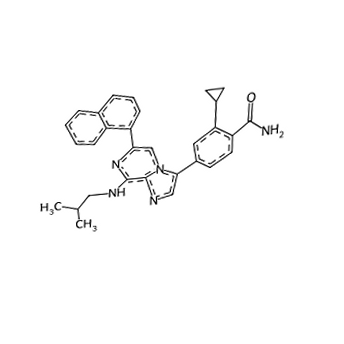 CC(C)CNc1nc(-c2cccc3ccccc23)cn2c(-c3ccc(C(N)=O)c(C4CC4)c3)cnc12